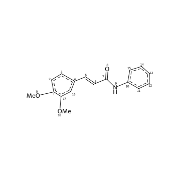 COc1ccc(C=CC(=O)Nc2ccccc2)cc1OC